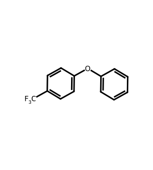 FC(F)(F)c1ccc(Oc2ccccc2)cc1